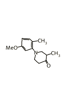 COc1ccc(C)c(N2CCC(=O)C(C)C2)c1